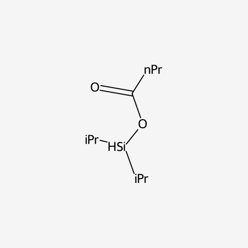 CCCC(=O)O[SiH](C(C)C)C(C)C